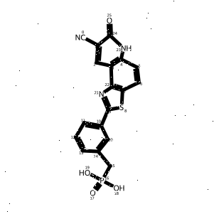 N#Cc1cc2c(ccc3sc(-c4cccc(CP(=O)(O)O)c4)nc32)[nH]c1=O